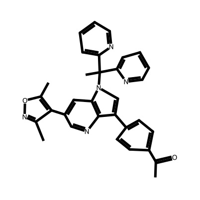 CC(=O)c1ccc(-c2cn(C(C)(c3ccccn3)c3ccccn3)c3cc(-c4c(C)noc4C)cnc23)cc1